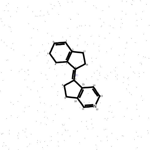 C1=CC2=C(CC1)/C(=C1\CCc3cnccc31)CC2